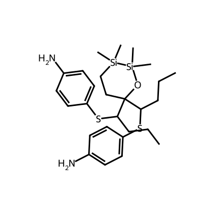 CCCC(Sc1ccc(N)cc1)C1(C(CCC)Sc2ccc(N)cc2)CC[Si](C)(C)[Si](C)(C)O1